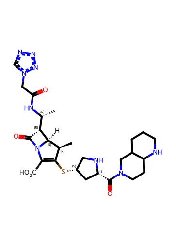 C[C@@H](NC(=O)Cn1cnnn1)[C@H]1C(=O)N2C(C(=O)O)=C(S[C@@H]3CN[C@H](C(=O)N4CCC5NCCCC5C4)C3)[C@H](C)[C@H]12